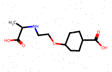 CC(NCCOC1CCC(C(=O)O)CC1)C(=O)O